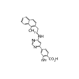 CCCc1cc(-c2cc(NCCc3ccc4ccccc4c3C)ncn2)ccc1C(=O)O